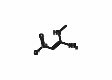 CN/C(N)=C\[N+](=O)[O-]